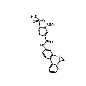 COc1cc(C(=O)Nc2ccc(-c3cccnc3C3CC3)c(C)c2)ccc1S(N)(=O)=O